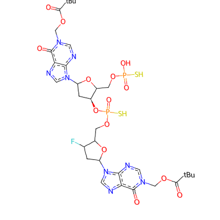 CC(C)(C)C(=O)OCn1cnc2c(ncn2C2CC(F)C(COP(=O)(S)O[C@H]3CC(n4cnc5c(=O)n(COC(=O)C(C)(C)C)cnc54)OC3COP(=O)(O)S)O2)c1=O